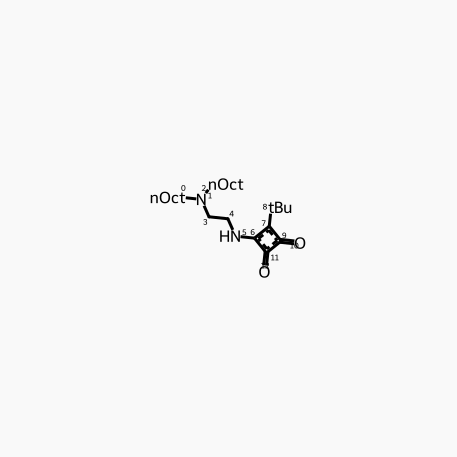 CCCCCCCCN(CCCCCCCC)CCNc1c(C(C)(C)C)c(=O)c1=O